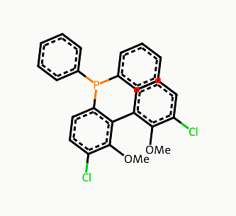 COc1c(Cl)cccc1-c1c(P(c2ccccc2)c2ccccc2)ccc(Cl)c1OC